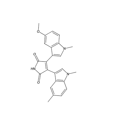 COc1ccc2c(c1)c(C1=C(c3cn(C)c4ccc(C)cc34)C(=O)NC1=O)cn2C